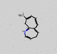 COC1=CC=CC2=CCC=CN=C2C1